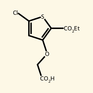 CCOC(=O)c1sc(Cl)cc1OCC(=O)O